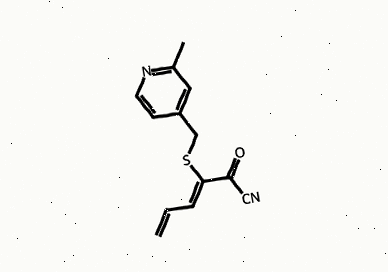 C=C/C=C(\SCc1ccnc(C)c1)C(=O)C#N